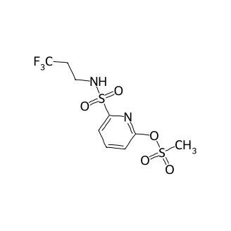 CS(=O)(=O)Oc1cccc(S(=O)(=O)NCCC(F)(F)F)n1